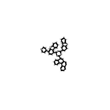 c1ccc2c(c1)ccc1cc(-c3nc(-c4ccc5sc6ccccc6c5c4)nc(-c4ccc(-c5ccncc5)c5oc6ccccc6c45)n3)c3ccccc3c12